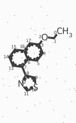 CCOc1ccc2c(-c3cs[c]n3)cccc2c1